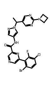 CC(c1cnc(N2CCC2)nc1)n1cc(NC(=O)c2cncc(-c3c(Br)ccc(Cl)c3F)n2)cn1